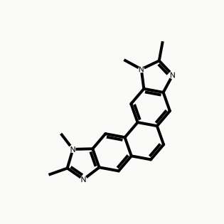 Cc1nc2cc3ccc4cc5nc(C)n(C)c5cc4c3cc2n1C